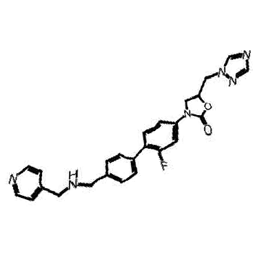 O=C1OC(Cn2cncn2)CN1c1ccc(-c2ccc(CNCc3ccncc3)cc2)c(F)c1